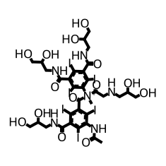 CC(=O)Nc1c(I)c(C(=O)NCC(O)CO)c(I)c(C(=O)[N+](C)(C(=O)CNCC(O)CO)c2c(I)c(C(=O)NCC(O)CO)c(I)c(C(=O)NCC(O)CO)c2I)c1I